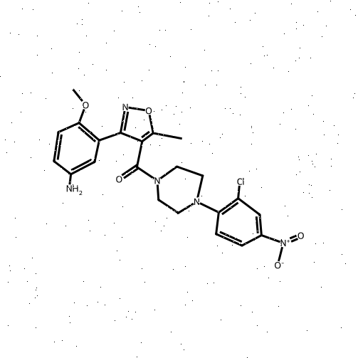 COc1ccc(N)cc1-c1noc(C)c1C(=O)N1CCN(c2ccc([N+](=O)[O-])cc2Cl)CC1